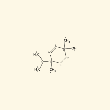 CC(C)C1(C)C=CC(C)(O)CC1